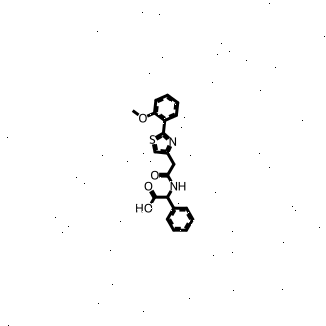 COc1ccccc1-c1nc(CC(=O)NC(C(=O)O)c2ccccc2)cs1